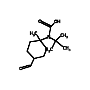 CC(C)(C)N(C(=O)O)C1(C)CCC(C=O)CC1